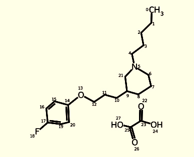 CCCCCN1CCCC(CCCOc2ccc(F)cc2)C1.O=C(O)C(=O)O